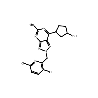 CC(C)(C)c1nc(N2CCC(O)C2)c2nn(Cc3nc(Cl)ccc3Cl)nc2n1